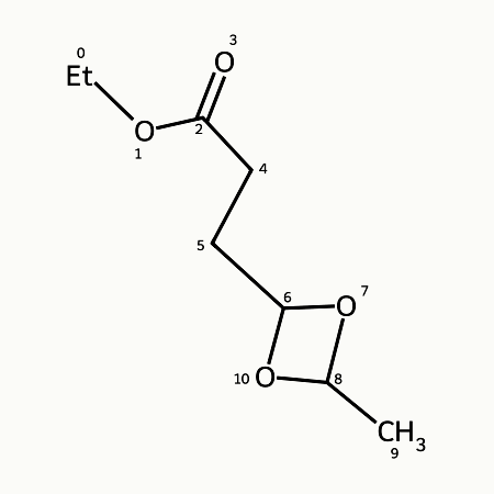 CCOC(=O)CCC1OC(C)O1